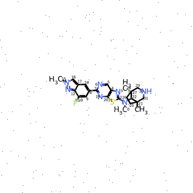 CN(c1nc2cnc(-c3cc(F)c4nn(C)cc4c3)nc2s1)C1C2(C)CC[C@@]1(C)CNC2